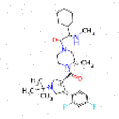 CNC(C(=O)N1CCN(C(=O)[C@@H]2CN(C(C)(C)C)C[C@H]2c2ccc(F)cc2F)[C@@H](C)C1)C1CCCCC1